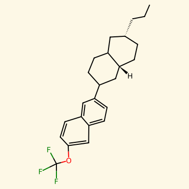 CCC[C@@H]1CC[C@@H]2CC(c3ccc4cc(OC(F)(F)F)ccc4c3)CCC2C1